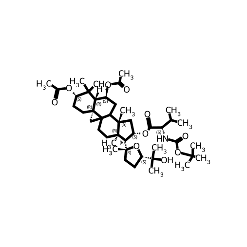 CC(=O)O[C@H]1CC2C3(CC[C@]4(C)[C@@H]([C@@]5(C)CC[C@@H](C(C)(C)O)O5)[C@@H](OC(=O)[C@@H](NC(=O)OC(C)(C)C)C(C)C)C[C@@]24C)C[C@@]32CC[C@H](OC(C)=O)C(C)(C)[C@H]12